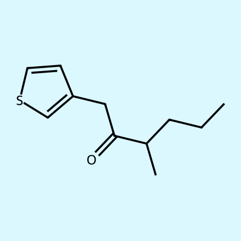 CCCC(C)C(=O)Cc1ccsc1